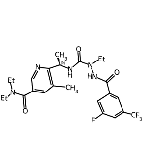 CCN(CC)C(=O)c1cnc([C@@H](C)NC(=O)N(CC)NC(=O)c2cc(F)cc(C(F)(F)F)c2)c(C)c1